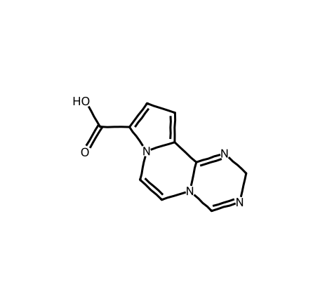 O=C(O)c1ccc2n1C=CN1C=NCN=C21